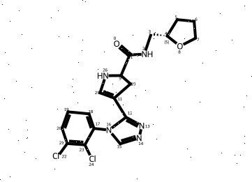 O=C(NC[C@@H]1CCCO1)C1CC(c2nncn2-c2cccc(Cl)c2Cl)=CN1